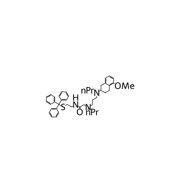 CCCN(CCCN(CCC)C1CCc2c(cccc2OC)C1)CC(=O)NCCSC(c1ccccc1)(c1ccccc1)c1ccccc1